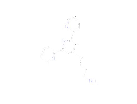 NCCCCc1cc(-c2ccccn2)nc(-c2ccccn2)c1